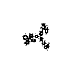 c1ccc(C2(c3ccccc3)c3ccccc3-c3c(-c4ccc(N(c5ccc(-c6ccc(-c7cccc8ccccc78)cc6)cc5)c5ccc(-c6cccc7oc8ccccc8c67)cc5)cc4)cccc32)cc1